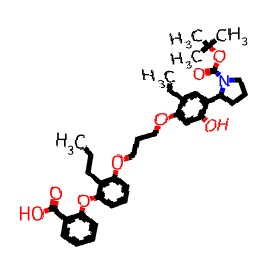 CCCc1c(OCCCOc2cc(O)c(C3CCCN3C(=O)OC(C)(C)C)cc2CC)cccc1Oc1ccccc1C(=O)O